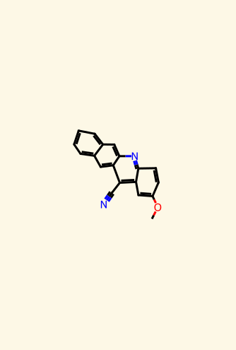 COc1ccc2nc3cc4ccccc4cc3c(C#N)c2c1